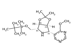 COc1ncncc1[C@@H]1N[C@H](CO[Si](C)(C)C(C)(C)C)[C@H]2OC(C)(C)O[C@H]21